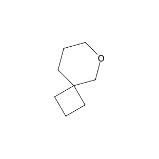 C1COCC2(C1)CCC2